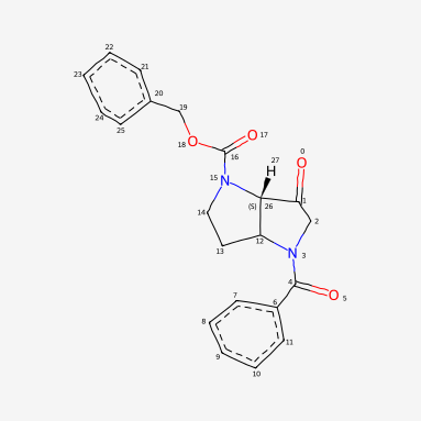 O=C1CN(C(=O)c2ccccc2)C2CCN(C(=O)OCc3ccccc3)[C@H]12